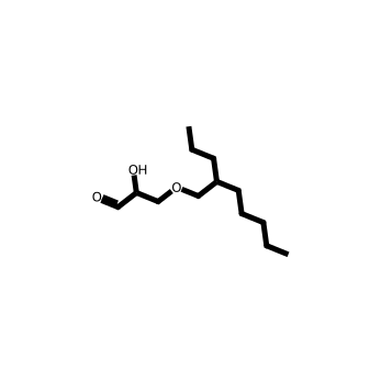 CCCCCC(CCC)COCC(O)C=O